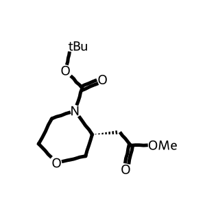 COC(=O)C[C@@H]1COCCN1C(=O)OC(C)(C)C